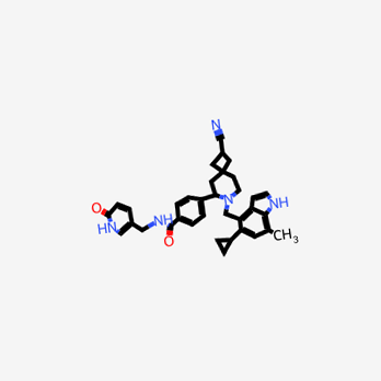 Cc1cc(C2CC2)c(CN2CCC3(CC(C#N)C3)CC2c2ccc(C(=O)NCc3ccc(=O)[nH]c3)cc2)c2cc[nH]c12